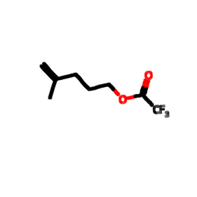 C=C(C)CCCOC(=O)C(F)(F)F